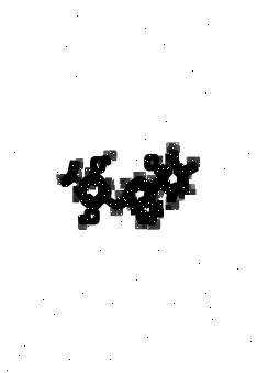 COC1=N[C@H](C(C)C)C(OC)=N[C@H]1Cc1ccc(-c2c(C)cc(C)n(C)c2=O)c2nccn12